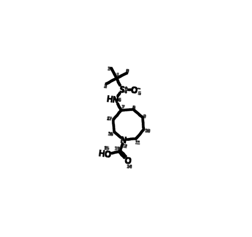 CC(C)(C)[S+]([O-])NC1CCCCN(C(=O)O)CC1